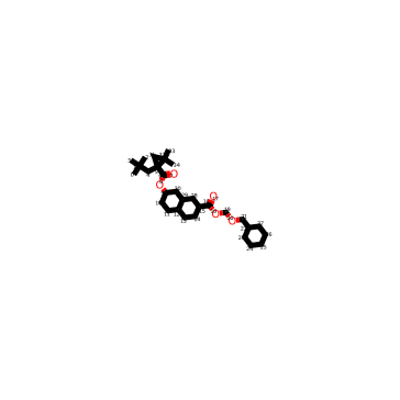 CC(C)(C)CC1(C(=O)OC2CCC3CCC(C(=O)OCOCC4CCCCC4)CC3C2)CC1(C)C